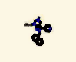 CCCCCN1CN(C)Cc2c1nn(Cc1cccc3ccccc13)c2-c1ccncc1